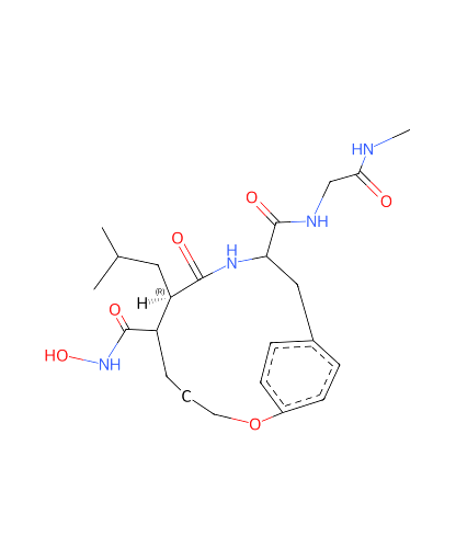 CNC(=O)CNC(=O)C1Cc2ccc(cc2)OCCCC(C(=O)NO)[C@@H](CC(C)C)C(=O)N1